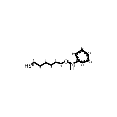 SCCCCCCONc1ccccc1